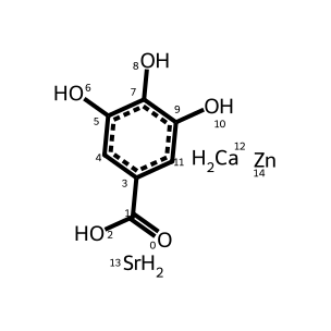 O=C(O)c1cc(O)c(O)c(O)c1.[CaH2].[SrH2].[Zn]